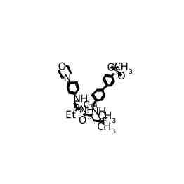 CC[C@@H](CNc1ccc(N2CCOCC2)cc1)NC(=O)[C@H](CC(C)(C)F)N[C@@H](c1ccc(-c2ccc(S(C)(=O)=O)cc2)cc1)C(F)(F)F